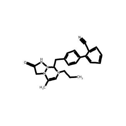 CCCN1C=C(C)N2CC(=O)NN2C1Cc1ccc(-c2ccccc2C#N)cc1